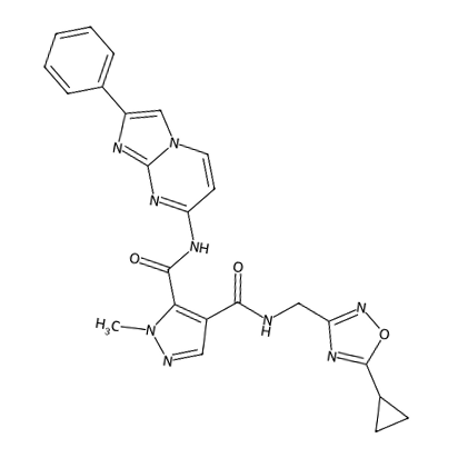 Cn1ncc(C(=O)NCc2noc(C3CC3)n2)c1C(=O)Nc1ccn2cc(-c3ccccc3)nc2n1